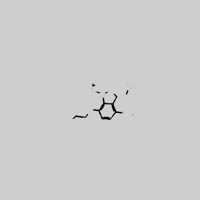 Cc1ccc(OCCO)c2c1[C@@H](CN)OB2N=O